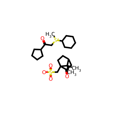 CC1(C)C2CCC1(CS(=O)(=O)[O-])C(=O)C2.C[S+](CC(=O)C1CCCC1)C1CCCCC1